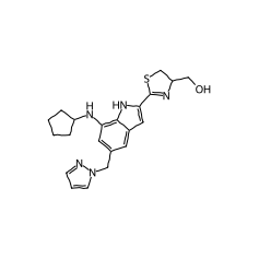 OCC1CSC(c2cc3cc(Cn4cccn4)cc(NC4CCCC4)c3[nH]2)=N1